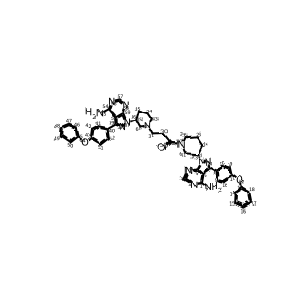 Nc1ncnc2c1c(-c1ccc(Oc3ccccc3)cc1)nn2[C@@H]1CCCN(C(=O)CCN2CCC[C@H](n3nc(-c4ccc(Oc5ccccc5)cc4)c4c(N)ncnc43)C2)C1